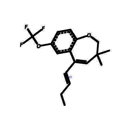 CC/C=C/C1=CC(C)(C)COc2ccc(OC(F)(F)F)cc21